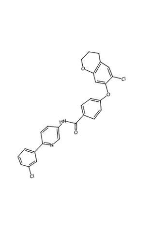 O=C(Nc1ccc(-c2cccc(Cl)c2)nc1)c1ccc(Oc2cc3c(cc2Cl)CCCO3)cc1